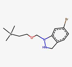 C[Si](C)(C)CCOCN1NCc2ccc(Br)cc21